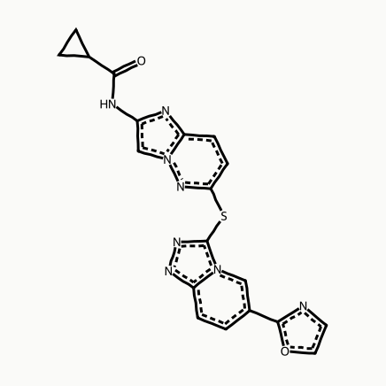 O=C(Nc1cn2nc(Sc3nnc4ccc(-c5ncco5)cn34)ccc2n1)C1CC1